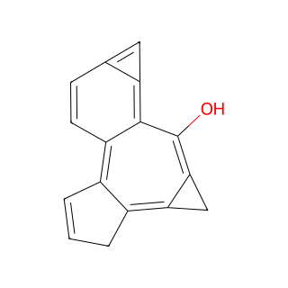 OC1=C2CC2=C2CC=CC2=c2ccc3c(c21)C=3